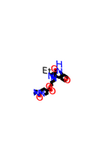 CCc1nn(CCCOC(=O)C2CCN(C(=O)N(C)C)CC2)c2c1C(=O)NCC1(CCOCC1)C2